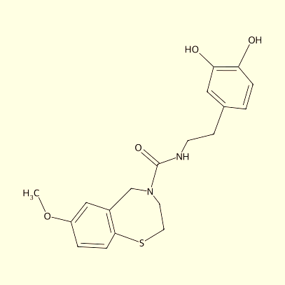 COc1ccc2c(c1)CN(C(=O)NCCc1ccc(O)c(O)c1)CCS2